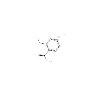 BCc1cc(C#N)ccc1C(=O)OC